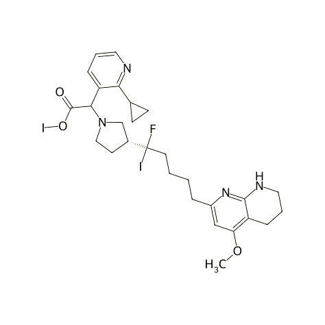 COc1cc(CCCCC(F)(I)[C@@H]2CCN(C(C(=O)OI)c3cccnc3C3CC3)C2)nc2c1CCCN2